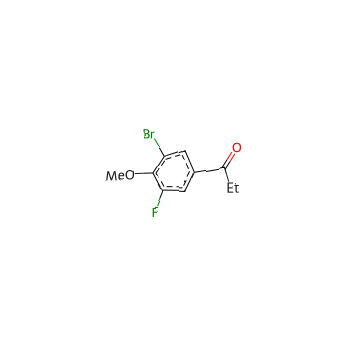 CCC(=O)c1cc(F)c(OC)c(Br)c1